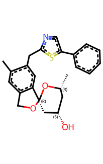 Cc1cc2c(cc1Cc1ncc(-c3ccccc3)s1)[C@]1(C[C@@H](O)C[C@@H](C)O1)OC2